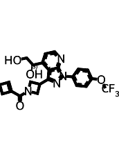 O=C(C1=CCC1)N1CC(c2nn(-c3ccc(OC(F)(F)F)cc3)c3nccc([C@H](O)CO)c23)C1